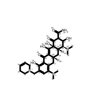 CN(C)c1cc(CN2CC=CCC2)c(O)c2c1C[C@H]1C[C@H]3[C@H](N(C)C)C(O)C(C(N)=O)C(=O)[C@@]3(O)C(O)=C1C2=O